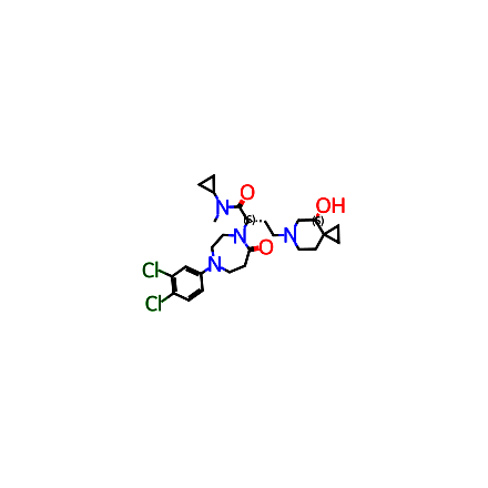 CN(C(=O)[C@H](CCN1CCC2(CC2)[C@H](O)C1)N1CCN(c2ccc(Cl)c(Cl)c2)CCC1=O)C1CC1